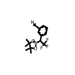 CC1(C)OB(C(c2cccc(C#N)c2)C(F)(F)F)OC1(C)C